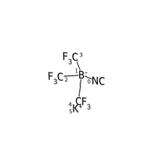 [C-]#[N+][B-](C(F)(F)F)(C(F)(F)F)C(F)(F)F.[K+]